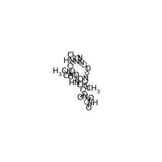 CNC(=O)COc1cc2cc(Nc3nc(N4CCC(OC5CC(N6CCC(c7ccc8c(c7C)CN(C7CCC(=O)NC7=O)C8=O)CC6)C5)CC4)ncc3Cl)ccc2n(C(C)C)c1=O